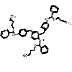 CCCCOC(Nc1ccc(Cc2ccc(NC(OCCCC)c3ccccc3)c(Cc3ccc(NC(OCCCC)c4ccccc4)cc3)c2)cc1)c1ccccc1